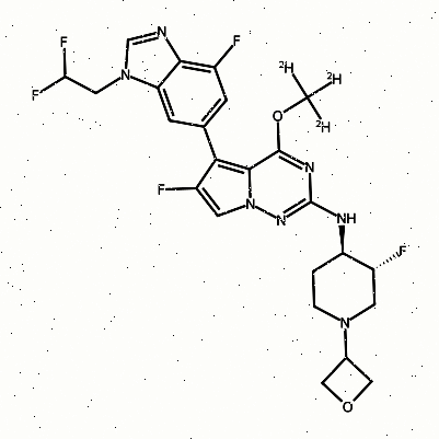 [2H]C([2H])([2H])Oc1nc(N[C@@H]2CCN(C3COC3)C[C@H]2F)nn2cc(F)c(-c3cc(F)c4ncn(CC(F)F)c4c3)c12